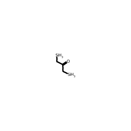 O=C(C[SiH3])C[SiH3]